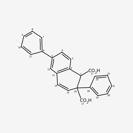 O=C(O)C1c2ccc(-c3ccccc3)cc2C=CC1(C(=O)O)c1ccccc1